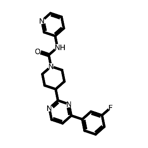 O=C(Nc1cccnc1)N1CCC(c2nccc(-c3cccc(F)c3)n2)CC1